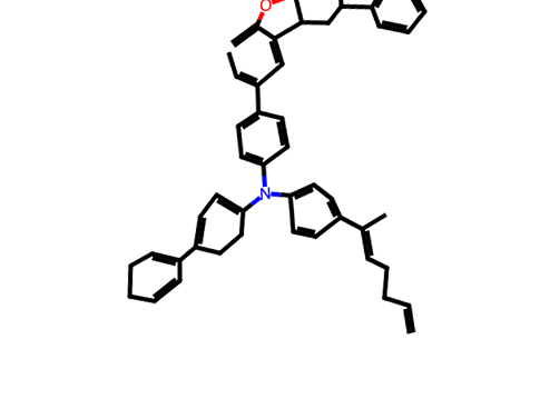 C=CCC/C=C(\C)c1ccc(N(C2=CC=C(C3=CCCC=C3)CC2)c2ccc(C(/C=C3\C(=C)OC4C=CC(c5ccccc5)CC34)=C/C)cc2)cc1